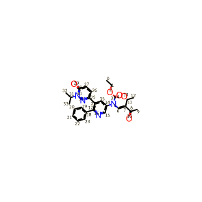 CCOC(=O)N(C=C(C(C)=O)C(C)=O)c1cnc(-c2ccccc2)c(-c2ccc(=O)n(C(C)C)n2)c1